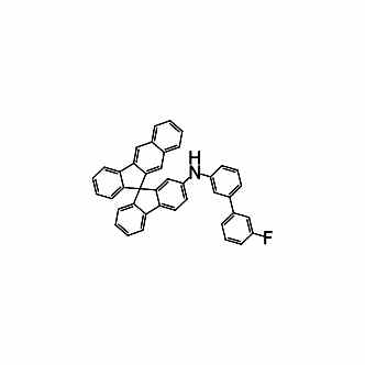 Fc1cccc(-c2cccc(Nc3ccc4c(c3)C3(c5ccccc5-4)c4ccccc4-c4cc5ccccc5cc43)c2)c1